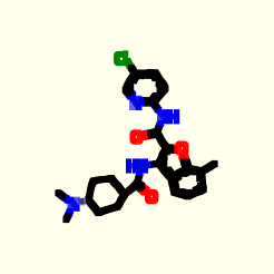 Cc1cccc2c(NC(=O)[C@H]3CC[C@H](N(C)C)CC3)c(C(=O)Nc3ccc(Cl)cn3)oc12